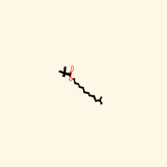 CC(C)CCCCCCCCCCOC(=O)C(C)(C)C